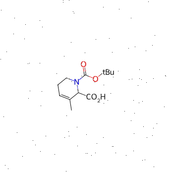 CC1=CCCN(C(=O)OC(C)(C)C)C1C(=O)O